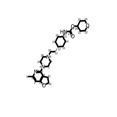 Cc1cc2c(c(N3CCN(CC[C@H]4CC[C@H](NC(=O)OC5CCOCC5)CC4)CC3)n1)CCO2